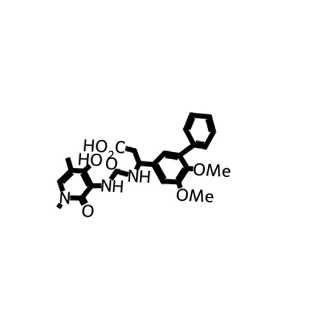 COc1cc(C(CC(=O)O)NC(=O)Nc2c(O)c(C)cn(C)c2=O)cc(-c2ccccc2)c1OC